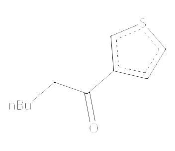 CCCCCC(=O)c1ccsc1